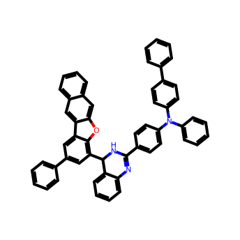 c1ccc(-c2ccc(N(c3ccccc3)c3ccc(C4=Nc5ccccc5C(c5cc(-c6ccccc6)cc6c5oc5cc7ccccc7cc56)N4)cc3)cc2)cc1